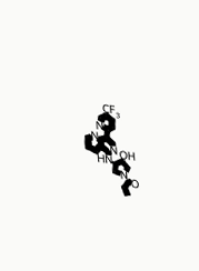 C=CC(=O)N1C[C@H](O)[C@H](Nc2ncc(-c3ccc(C(F)(F)F)cn3)c3ncccc23)C1